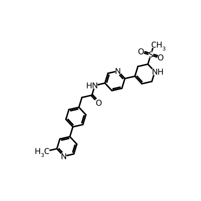 Cc1cc(-c2ccc(CC(=O)Nc3ccc(C4=CCNC(S(C)(=O)=O)C4)nc3)cc2)ccn1